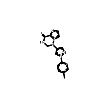 Cc1ccc(-n2cc(N3CNC(=O)c4nccn43)cn2)nc1